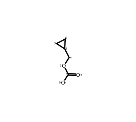 [O]C(=O)OCC1CC1